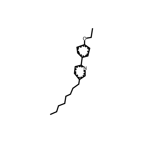 CCCCCCCCc1ccc(-c2ccc(OCC)cc2)nc1